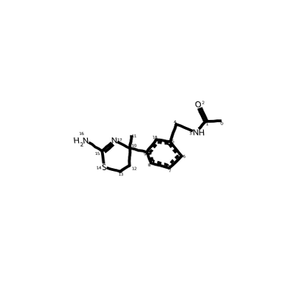 CC(=O)NCc1cccc(C2(C)CCSC(N)=N2)c1